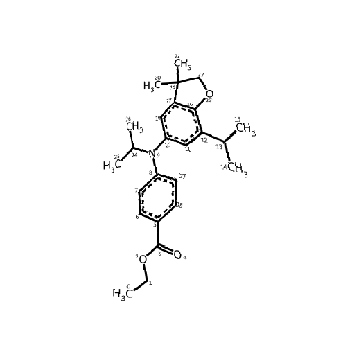 CCOC(=O)c1ccc(N(c2cc(C(C)C)c3c(c2)C(C)(C)CO3)C(C)C)cc1